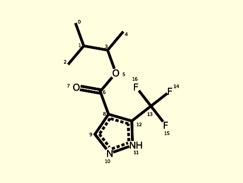 CC(C)C(C)OC(=O)c1cn[nH]c1C(F)(F)F